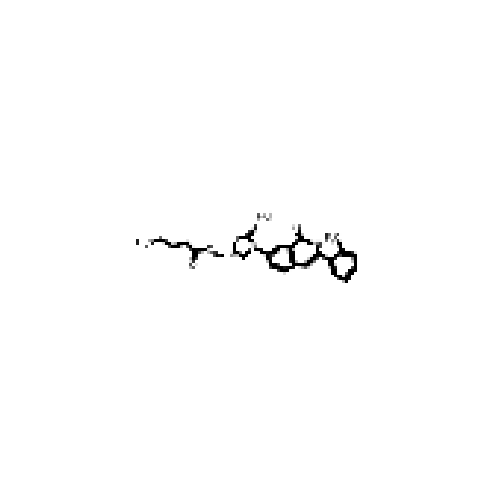 Cl.NCCCC(=O)OC[C@H]1CN(c2ccc3cc(-c4ccccc4C(F)(F)F)[nH]c(=O)c3c2)C(=O)O1